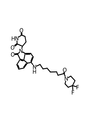 O=C1CCC(N2C(=O)c3cccc4c(NCCCCCCC(=O)N5CCC(F)(F)CC5)ccc2c34)C(=O)N1